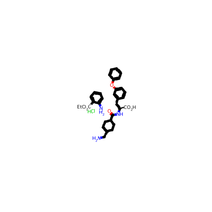 CCOC(=O)c1ccccc1N.Cl.NCC1CCC(C(=O)N[C@@H](Cc2cccc(Oc3ccccc3)c2)C(=O)O)CC1